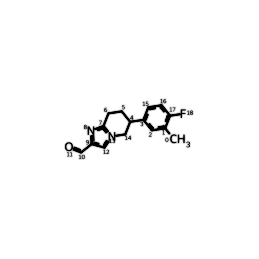 Cc1cc(C2CCc3nc(C=O)cn3C2)ccc1F